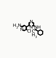 C[C@H](Nc1cncc(-c2cc(N)ncc2Cl)n1)C1CCCCC1